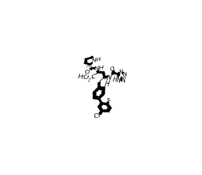 O=C(N[C@H](Cc1ccc(-c2cc(Cl)ccc2F)cc1)C[C@@H](NC(=O)[C@@H]1CCCN1)C(=O)O)c1nnn[nH]1